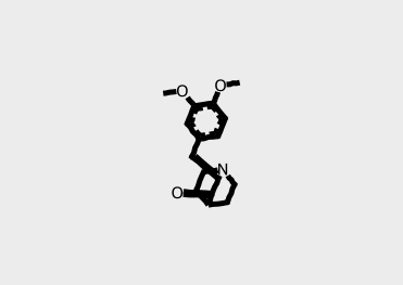 COc1ccc(C=C2C(=O)C3CCN2CC3)cc1OC